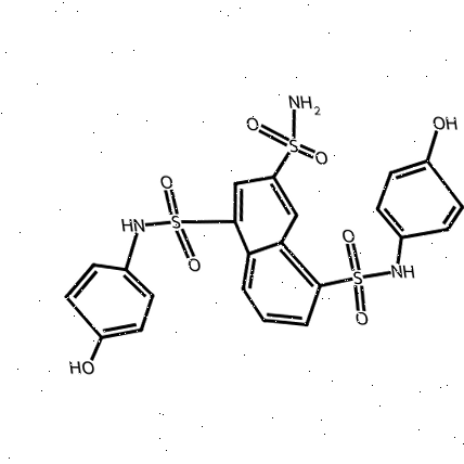 NS(=O)(=O)c1cc(S(=O)(=O)Nc2ccc(O)cc2)c2cccc(S(=O)(=O)Nc3ccc(O)cc3)c2c1